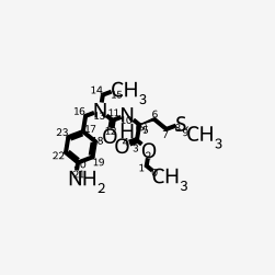 CCOC(=O)[C@H](CCSC)NC(=O)N(CC)Cc1ccc(N)cc1